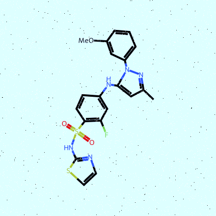 COc1cccc(-n2nc(C)cc2Nc2ccc(S(=O)(=O)Nc3nccs3)c(F)c2)c1